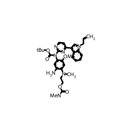 C=CCn1cc(-c2ccnc(N(C(=O)OC(C)(C)C)c3cc(N)c(N(C)CCOC(=O)NC)cc3OC)n2)c2ccccc21